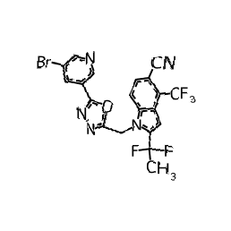 CC(F)(F)c1cc2c(C(F)(F)F)c(C#N)ccc2n1Cc1nnc(-c2cncc(Br)c2)o1